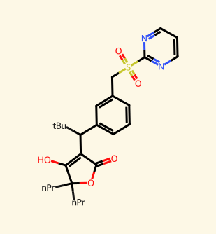 CCCC1(CCC)OC(=O)C(C(c2cccc(CS(=O)(=O)c3ncccn3)c2)C(C)(C)C)=C1O